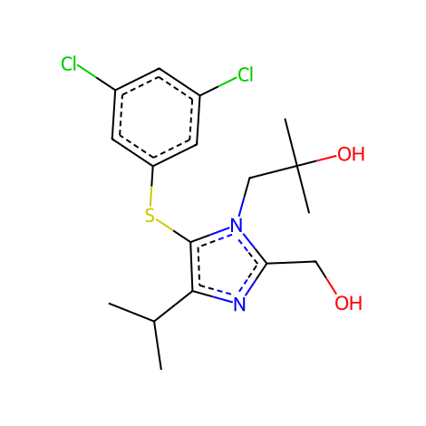 CC(C)c1nc(CO)n(CC(C)(C)O)c1Sc1cc(Cl)cc(Cl)c1